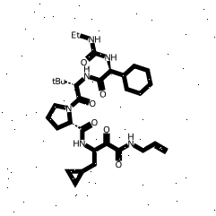 C=CCNC(=O)C(=O)C(CC1CC1)NC(=O)[C@@H]1CCCN1C(=O)[C@@H](NC(=O)[C@@H](NC(=O)NCC)C1CCCCC1)C(C)(C)C